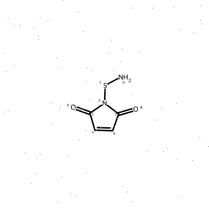 NSN1C(=O)C=CC1=O